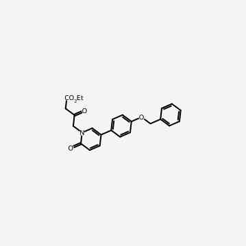 CCOC(=O)CC(=O)Cn1cc(-c2ccc(OCc3ccccc3)cc2)ccc1=O